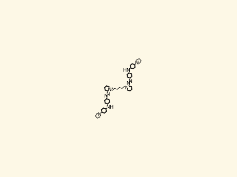 c1cc[n+](CCCCCC[n+]2ccccc2/N=N/c2ccc(Nc3ccc(N4CCCC4)cc3)cc2)c(/N=N/c2ccc(Nc3ccc(N4CCCC4)cc3)cc2)c1